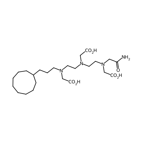 NC(=O)CN(CCN(CCN(CCCC1CCCCCCCC1)CC(=O)O)CC(=O)O)CC(=O)O